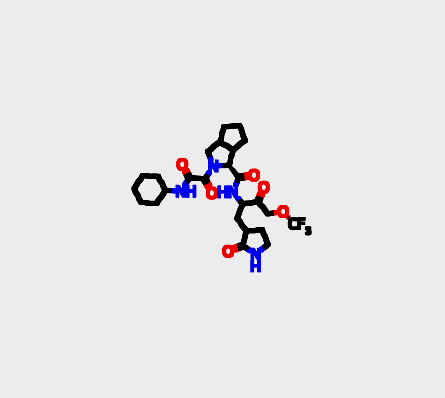 O=C(NC1CCCCC1)C(=O)N1CC2CCCC2[C@H]1C(=O)NC(CC1CCNC1=O)C(=O)COC(F)(F)F